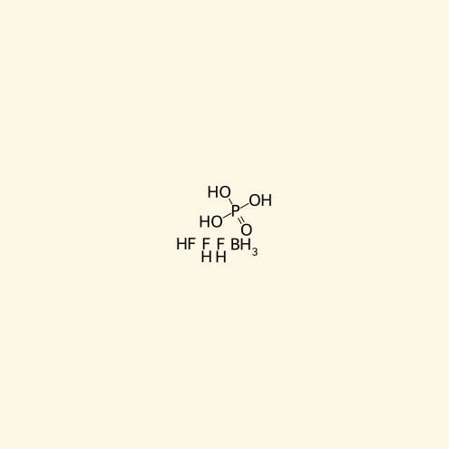 B.F.F.F.O=P(O)(O)O